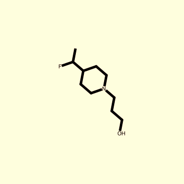 CC(F)C1CCN(CCCO)CC1